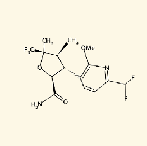 COc1nc(C(F)F)ccc1[C@@H]1[C@@H](C(N)=O)O[C@@](C)(C(F)(F)F)[C@H]1C